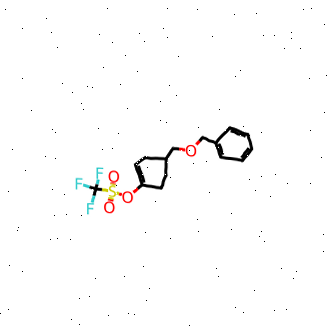 O=S(=O)(OC1=CCC(COCc2ccccc2)CC1)C(F)(F)F